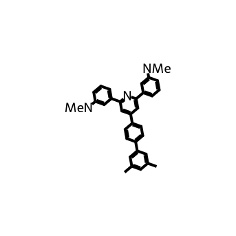 CNc1cccc(-c2cc(-c3ccc(-c4cc(C)cc(C)c4)cc3)cc(-c3cccc(NC)c3)n2)c1